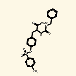 COC(=O)C(Cc1ccc(OS(=O)(=O)c2ccc(C)cc2)cc1)NC(=O)OCc1ccccc1